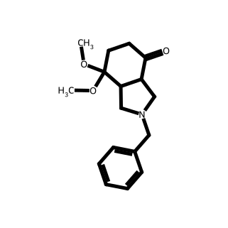 COC1(OC)CCC(=O)C2CN(Cc3ccccc3)CC21